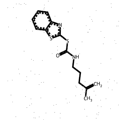 C=C(C)CCCNC(=O)Sc1nc2ccccc2s1